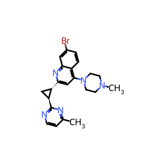 Cc1ccnc([C@H]2C[C@@H]2c2cc(N3CCN(C)CC3)c3ccc(Br)cc3n2)n1